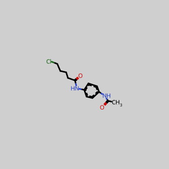 CC(=O)Nc1ccc(NC(=O)CCCCCl)cc1